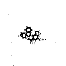 COc1cc2c(O)cc3c(c2c2c1OCC2)-c1ccccc1C31CC2CCC1C2